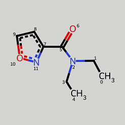 CCN(CC)C(=O)c1ccon1